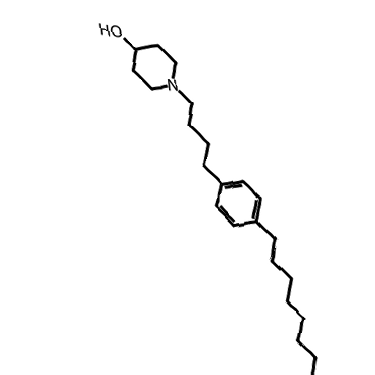 CCCCCCCCc1ccc(CCCCN2CCC(O)CC2)cc1